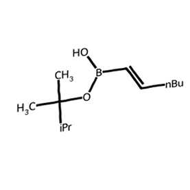 CCCCC=CB(O)OC(C)(C)C(C)C